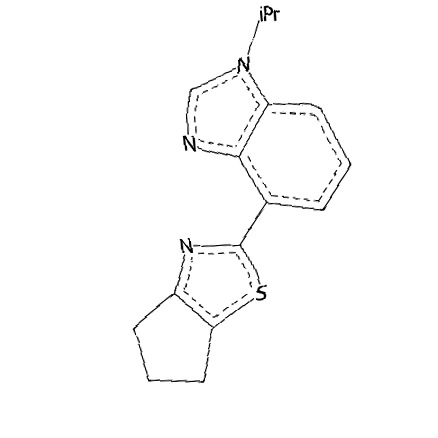 CC(C)n1cnc2c(-c3nc4c(s3)CCC4)cccc21